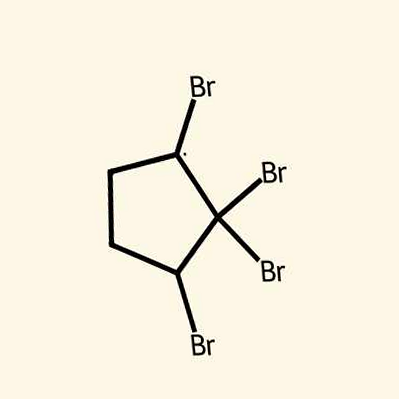 Br[C]1CCC(Br)C1(Br)Br